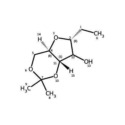 CC[C@H]1O[C@@H]2COC(C)(C)O[C@H]2C1O